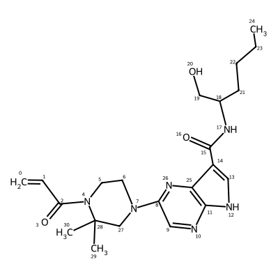 C=CC(=O)N1CCN(c2cnc3[nH]cc(C(=O)NC(CO)CCCC)c3n2)CC1(C)C